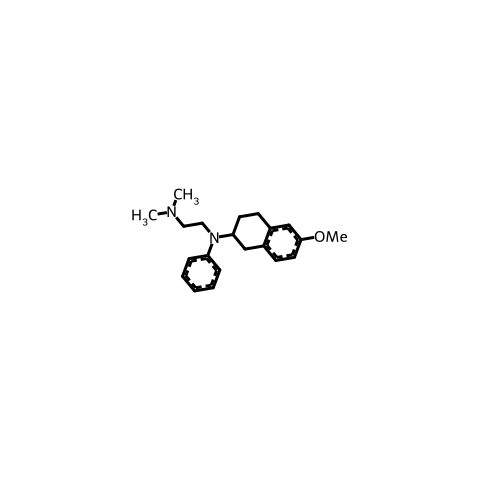 COc1ccc2c(c1)CCC(N(CCN(C)C)c1ccccc1)C2